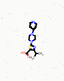 CC(C)c1nc(N2CCN(c3ccncc3)CC2)sc1C(=O)O